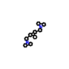 c1cc(-c2ccc3c(c2)C2(CCCCC2)c2cc(-c4cccc(-n5c6ccccc6c6ccccc65)c4)ccc2-3)cc(-n2c3ccccc3c3ccccc32)c1